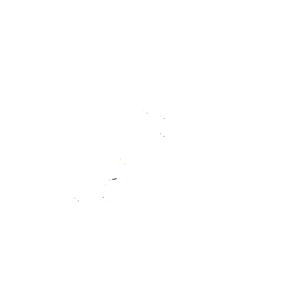 O=C1NC(=O)[C@](CNC(=O)c2cnn(-c3ccc(F)c(Cl)c3)n2)(C2CC2)N1